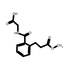 COC(=O)CCc1ccccc1C(=O)NCC(=O)O